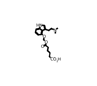 CN(C)CCc1c[nH]c2cccc(OCOC(=O)CCCCC(=O)O)c12